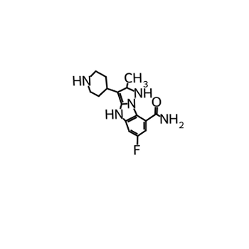 CC1NN2C(=C1C1CCNCC1)Nc1cc(F)cc(C(N)=O)c12